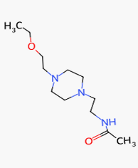 CCOCCN1CCN(CCNC(C)=O)CC1